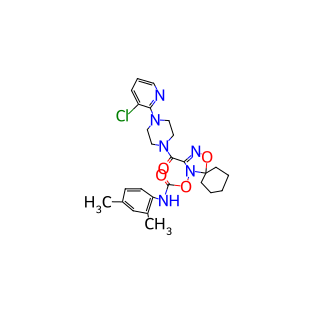 Cc1ccc(NC(=O)ON2C(C(=O)N3CCN(c4ncccc4Cl)CC3)=NOC23CCCCC3)c(C)c1